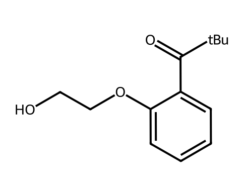 CC(C)(C)C(=O)c1ccccc1OCCO